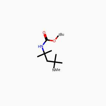 CNC(C)(C)CC(C)(C)NC(=O)OC(C)(C)C